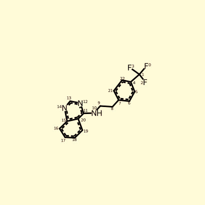 FC(F)(F)c1ccc(CCNc2ncnc3ccccc23)cc1